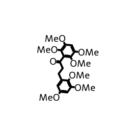 COc1cc(CCC(=O)c2c(OC)c(OC)cc(OC)c2OC)c(OC)c(OC)c1